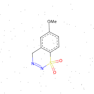 COc1ccc2c(c1)CN=NS2(=O)=O